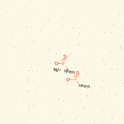 CCCCC[PH](=O)[O-].CCCCC[PH](=O)[O-].[Ni+2]